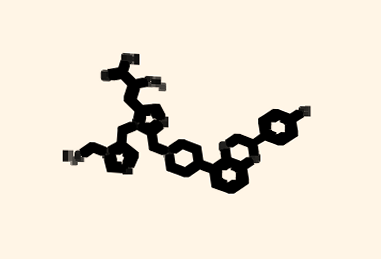 CCn1cncc1Cn1c(/C=C(\C)C(=O)O)cnc1CN1CCC(c2cccc3c2OC[C@@H](c2ccc(Cl)cc2)O3)CC1